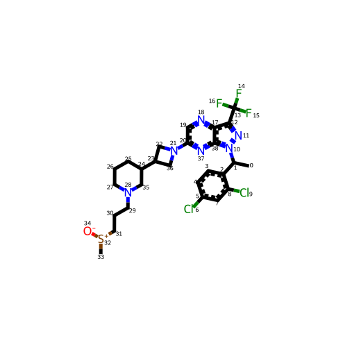 CC(c1ccc(Cl)cc1Cl)n1nc(C(F)(F)F)c2ncc(N3CC(C4CCCN(CCC[S+](C)[O-])C4)C3)nc21